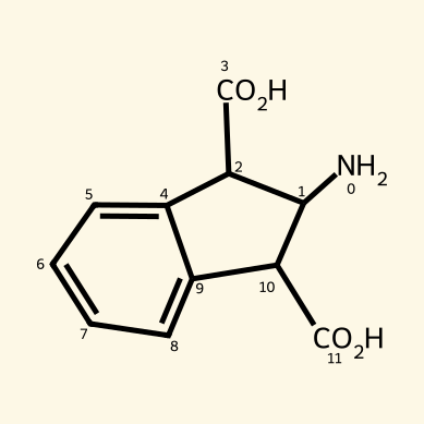 NC1C(C(=O)O)c2ccccc2C1C(=O)O